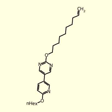 C=CCCCCCCCCOc1ncc(-c2ccc(OCCCCCC)nc2)cn1